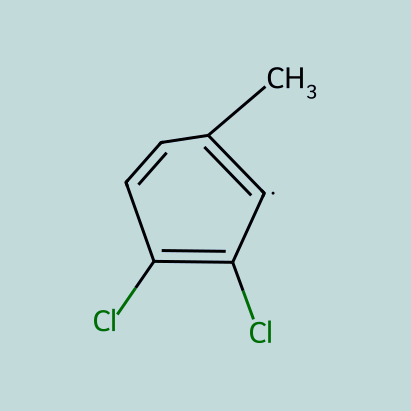 Cc1[c]c(Cl)c(Cl)cc1